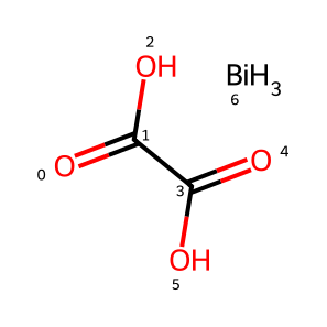 O=C(O)C(=O)O.[BiH3]